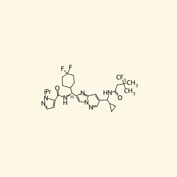 CC(C)n1nccc1C(=O)N[C@H](c1cn2ncc(C(NC(=O)CC(C)(C)C(F)(F)F)C3CC3)cc2n1)C1CCC(F)(F)CC1